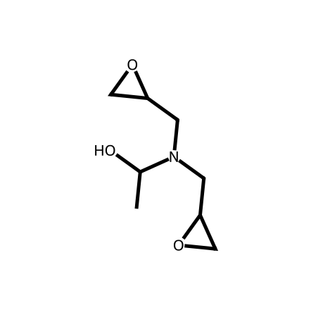 CC(O)N(CC1CO1)CC1CO1